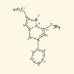 CCOC(=O)c1cc2nc(-c3ccccc3)cc(CC(C)C)n2n1